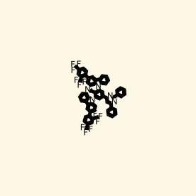 N#Cc1c(-n2c3ccccc3c3cc(-c4ccc(C(F)(F)F)cc4C(F)(F)F)ccc32)cc(-c2cc(-c3ccccc3)nc(-c3ccccc3)n2)cc1-n1c2ccccc2c2cc(-c3ccc(C(F)(F)F)cc3C(F)(F)F)ccc21